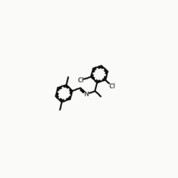 Cc1ccc(C)c(C=NC(C)c2c(Cl)cccc2Cl)c1